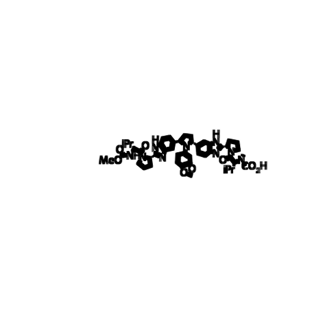 COC(=O)N[C@H](C(=O)N1CCC[C@H]1c1nc2cc([C@H]3CC[C@H](c4ccc5nc([C@@H]6CCCN6C(=O)[C@H](C(C)C)N(C)C(=O)O)[nH]c5c4)N3c3ccc4c(c3)OCO4)ccc2[nH]1)C(C)C